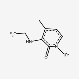 Cc1ccn(C(C)C)c(=O)c1NCC(F)(F)F